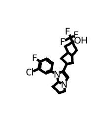 OC1(C(F)(F)F)CC2CC(C3=CN4CCCC4N3c3ccc(F)c(Cl)c3)CC2C1